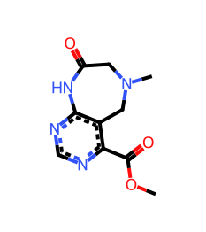 COC(=O)c1ncnc2c1CN(C)CC(=O)N2